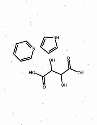 O=C(O)C(O)C(O)C(=O)O.c1cc[nH]c1.c1ccncc1